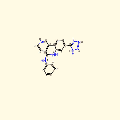 c1ccc(NC2Nc3cc(-c4nnn[nH]4)ccc3-c3cnccc32)cc1